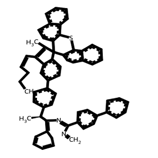 C=N/C(=N\C(=C1\C=CC=CC1)[C@@H](C)c1ccc(-c2ccc3c(c2)C(/C=C\CCC)=C(C)C32c3ccc4ccccc4c3Sc3c2ccc2ccccc32)cc1)c1ccc(-c2ccccc2)cc1